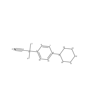 CC(C)(C#N)c1ccc(C2CCCCC2)cc1